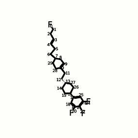 FCC/C=C/CCC1CC=C(CC[C@H]2CC[C@H](c3cc(F)c(F)c(F)c3)CC2)CC1